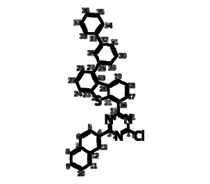 Clc1nc(-c2ccc3ccccc3c2)nc(-c2cccc3c2sc2cccc(-c4cccc(-c5ccccc5)c4)c23)n1